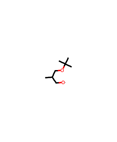 CC(C[O])COC(C)(C)C